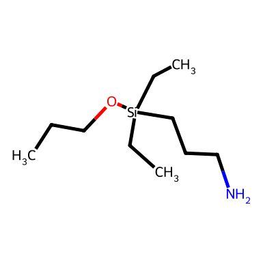 CCCO[Si](CC)(CC)CCCN